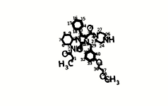 CCC(=O)N[C@H]1CCCCC1n1c(-c2ccccc2)c(C(=O)N2CCNCC2)n(Cc2cccc(OCCOC)c2)c1=O